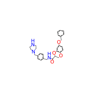 O=C(NCc1ccc(CN2CCNCC2)cc1)C1COc2ccc(OCc3ccccc3)cc2O1